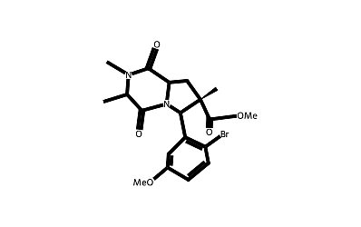 COC(=O)[C@@]1(C)CC2C(=O)N(C)C(C)C(=O)N2C1c1cc(OC)ccc1Br